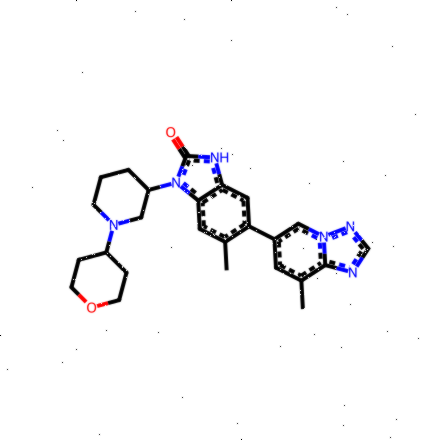 Cc1cc2c(cc1-c1cc(C)c3ncnn3c1)[nH]c(=O)n2C1CCCN(C2CCOCC2)C1